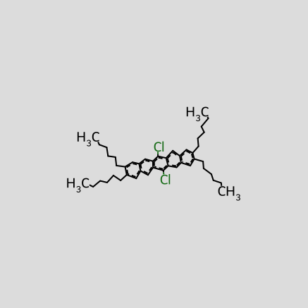 CCCCCCc1cc2cc3c(Cl)c4cc5cc(CCCCCC)c(CCCCCC)cc5cc4c(Cl)c3cc2cc1CCCCCC